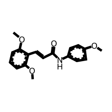 COc1ccc(NC(=O)C=Cc2c(OC)cccc2OC)cc1